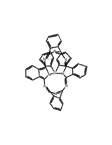 c1ccc([Si]2(c3ccccc3)n3c4c5ccccc5c3/N=C3N=C(/N=c5/c6ccccc6/c(n52)=N/C2=NC(=N\4)/c4ccccc42)c2ccccc2\3)cc1